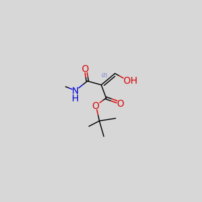 CNC(=O)/C(=C/O)C(=O)OC(C)(C)C